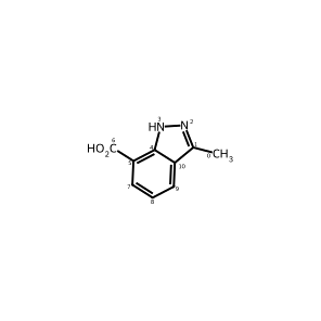 Cc1n[nH]c2c(C(=O)O)cccc12